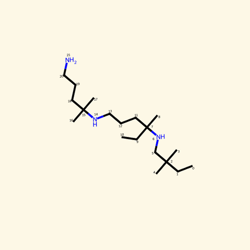 CCC(C)(C)CNC(C)(CC)CCCNC(C)(C)CCCN